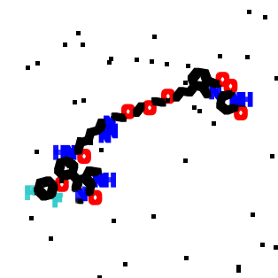 Cn1cc(-c2cc(NC(=O)CCCc3cn(CCOCCOCCOCCCc4cccc5c4CN(C4CCC(=O)NC4=O)C5=O)nn3)ccc2Oc2ccc(F)cc2F)c2cc[nH]c2c1=O